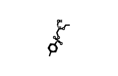 CCO[C@@H](CO)COS(=O)(=O)c1ccc(C)cc1